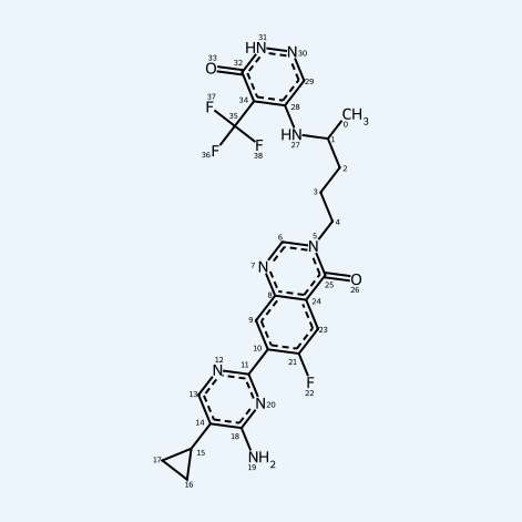 CC(CCCn1cnc2cc(-c3ncc(C4CC4)c(N)n3)c(F)cc2c1=O)Nc1cn[nH]c(=O)c1C(F)(F)F